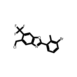 Cc1c(Br)cccc1-c1nc2cc(CCl)c(C(F)(F)F)cc2o1